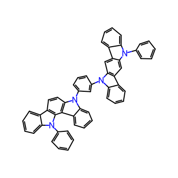 c1ccc(-n2c3ccccc3c3cc4c(cc32)c2ccccc2n4-c2cccc(-n3c4ccccc4c4c3ccc3c5ccccc5n(-c5ccccc5)c34)c2)cc1